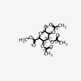 COC(=O)C1OC(Br)C(OC(C)=O)[C@H](OC(C)=O)C1OC(C)=O